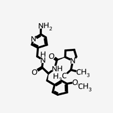 COc1cccc(C[C@H](NC(=O)[C@H]2CCCN2C(C)C)C(=O)NCc2ccc(N)nc2)c1